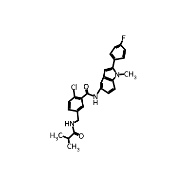 CC(C)C(=O)NCc1ccc(Cl)c(C(=O)Nc2ccc3c(c2)cc(-c2ccc(F)cc2)n3C)c1